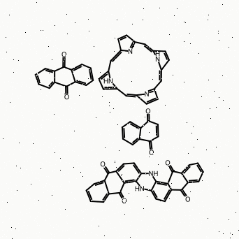 C1=Cc2cc3ccc(cc4nc(cc5ccc(cc1n2)[nH]5)C=C4)[nH]3.O=C1C=CC(=O)c2ccccc21.O=C1c2ccccc2C(=O)c2ccccc21.O=c1c2ccccc2c(=O)c2c1ccc1[nH]c3c(ccc4c(=O)c5ccccc5c(=O)c43)[nH]c12